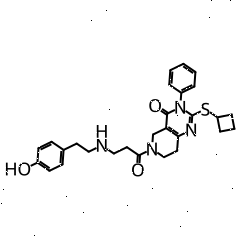 O=C(CCNCCc1ccc(O)cc1)N1CCc2nc(SC3CCC3)n(-c3ccccc3)c(=O)c2C1